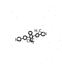 Cc1cnccc1-c1ccc(-c2c3ccccc3c(-c3ccc(-c4ccncc4)cc3C)c3ccccc23)cc1